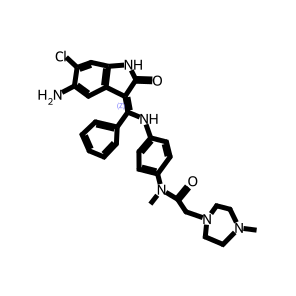 CN1CCN(CC(=O)N(C)c2ccc(N/C(=C3\C(=O)Nc4cc(Cl)c(N)cc43)c3ccccc3)cc2)CC1